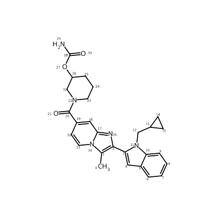 Cc1c(-c2cc3ccccc3n2CC2CC2)nc2cc(C(=O)N3CCCC(OC(N)=O)C3)ccn12